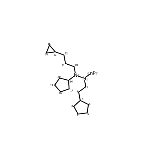 CCCN(CCC1CCCC1)N(CCCC1CC1)C1CCCC1